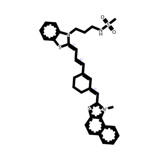 C[n+]1c(/C=C2C=C(/C=C/C=C3\Sc4ccccc4N3CCCNS(C)(=O)=O)CCC/2)sc2ccc3ccccc3c21